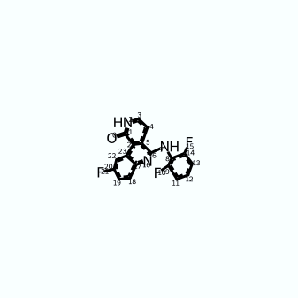 O=c1[nH]ccc2c(Nc3c(F)cccc3F)nc3ccc(F)cc3c12